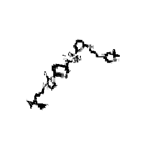 CC1(C)C[C@H](CCCNc2cccc(S(=O)(=O)NC(=O)c3ccc(N4CC[C@H](OCCC5C6(CC6)C56CC6)C4=O)nc3)n2)CN1